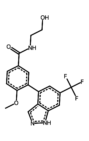 COc1ccc(C(=O)NCCO)cc1-c1cc(C(F)(F)F)cc2[nH]ncc12